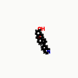 C[C@]12CC=C3C=C4CC[C@@H](O)C[C@]45CCC3(O5)[C@@H]1CC[C@@H]2c1ccc2ccncc2c1